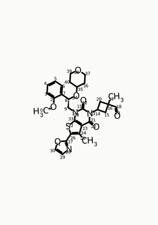 COc1ccccc1[C@H](Cn1c(=O)n(C2CC(C)(C=O)C2)c(=O)c2c(C)c(-c3ncco3)sc21)OC1CCOCC1